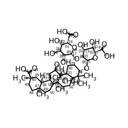 CC1(C)[C@@H](O[C@@H]2O[C@H](C(=O)O)[C@@H](O)[C@H](O)[C@H]2O[C@@H]2O[C@H](C(=O)O)[C@@H](O)[C@H](O)[C@H]2O)CC[C@]2(C)[C@H]3C(=O)C=C4[C@H]5C[C@@](C)(C(=O)O)CC[C@]5(C)CC[C@@]4(C)[C@]3(C)CC[C@@H]12